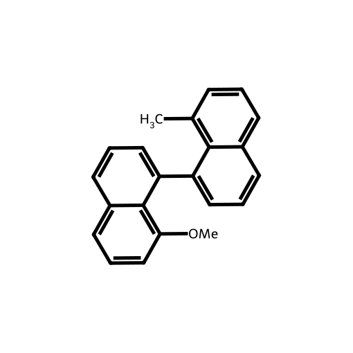 COc1cccc2cccc(-c3cccc4cccc(C)c34)c12